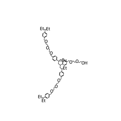 CCCCC(CC(CC(CC)c1ccc(COCCOCCOCc2ccc(C(CC)CC)cc2)cc1)c1ccc(COCCOCCO)cc1)c1ccc(COCCOCCOCc2ccc(C(CC)CC)cc2)cc1